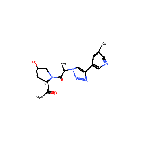 CNC(=O)[C@H]1CC(O)CN1C(=O)C(n1cc(-c2cncc(C#N)c2)nn1)C(C)(C)C